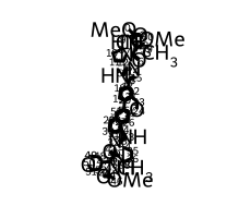 COC(=O)NC(C(=O)N1[C@@H](C)CC[C@H]1c1ncc(-c2ccc3c(c2)COc2cc4c(ccc5nc([C@@H]6CC[C@H](C)N6C(=O)[C@@H](NC(=O)OC)C6CCOCC6)[nH]c54)cc2-3)[nH]1)[C@@H](C)OC